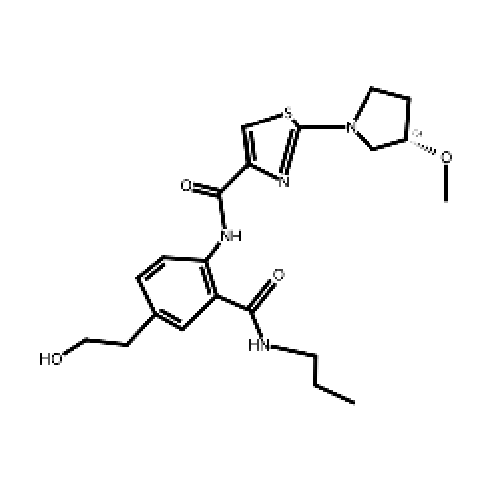 CCCNC(=O)c1cc(CCO)ccc1NC(=O)c1csc(N2CC[C@H](OC)C2)n1